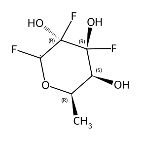 C[C@H]1O[C](F)[C@@](O)(F)[C@](O)(F)[C@H]1O